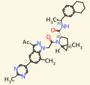 CC(=O)c1nn(CC(=O)N2[C@H](C(=O)N[C@@H](C)c3ccc4c(c3)CCCC4)C[C@@]3(C)C[C@@H]23)c2c(C)cc(-c3cnc(C)nc3)cc12